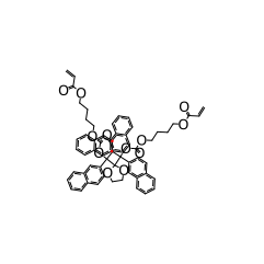 C=CC(=O)OCCCCOC(=O)OC(c1ccc2ccccc2c1)(c1ccc2ccccc2c1)C1(C(OC(=O)OCCCCOC(=O)C=C)(c2ccc3ccccc3c2)c2ccc3ccccc3c2)OCCO1